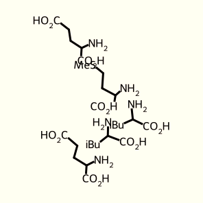 CCC(C)C(N)C(=O)O.CCC(C)C(N)C(=O)O.CSCCC(N)C(=O)O.NC(CCC(=O)O)C(=O)O.NC(CCC(=O)O)C(=O)O